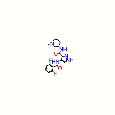 CN1CCCC(NC(=O)c2n[nH]cc2NC(=O)c2c(F)cccc2F)C1